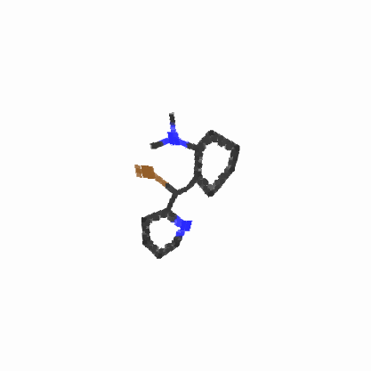 CN(C)c1ccccc1C(S)c1ccccn1